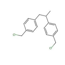 CC(Cc1ccc(CCl)cc1)c1ccc(CCl)cc1